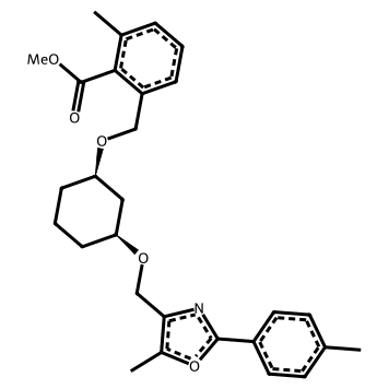 COC(=O)c1c(C)cccc1CO[C@@H]1CCC[C@H](OCc2nc(-c3ccc(C)cc3)oc2C)C1